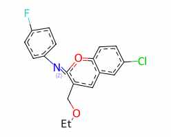 CCOCc1cc2cc(Cl)ccc2o/c1=N\c1ccc(F)cc1